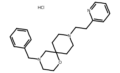 Cl.c1ccc(CN2CCOC3(CCN(CCc4ccccn4)CC3)C2)cc1